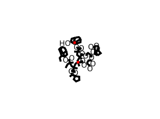 CCC1C2CC3CC(C2)CC1(OC(=O)C(C)(CC)CC(C)(CC(C)(CC(C)(CC(C)(C)C(=O)OC12CC4CC(CC(O)(C4)C1)C2)C(=O)OCC(=O)OC1C2CC4C(=O)OC1C4C2)C(=O)OC1CCOC1=O)C(=O)OC1(C(C)C)CCCC1)C3